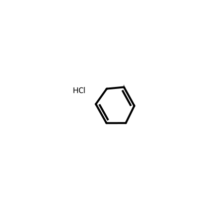 Cl.[C]1=CCC=CC1